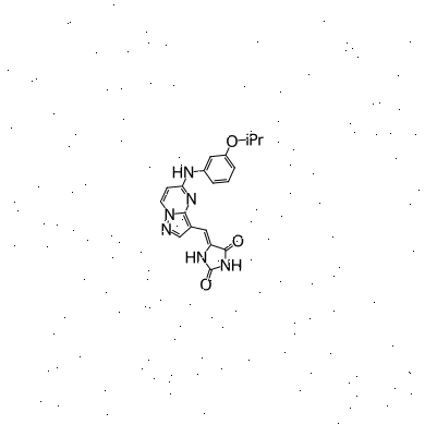 CC(C)Oc1cccc(Nc2ccn3ncc(/C=C4\NC(=O)NC4=O)c3n2)c1